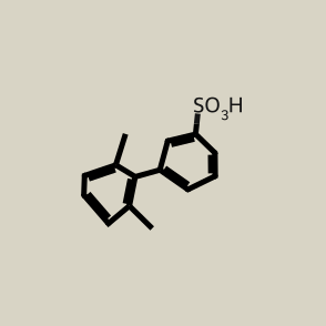 Cc1cccc(C)c1-c1cccc(S(=O)(=O)O)c1